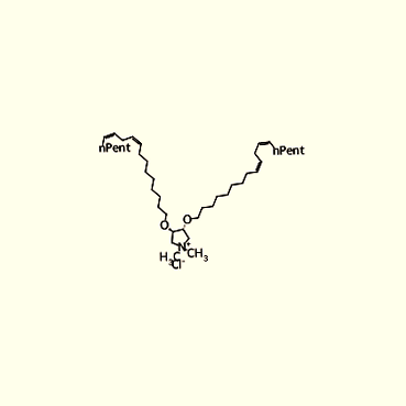 CCCCC/C=C\C/C=C\CCCCCCCCO[C@@H]1C[N+](C)(C)C[C@H]1OCCCCCCCC/C=C\C/C=C\CCCCC.[Cl-]